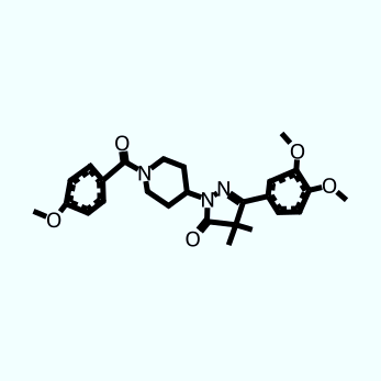 COc1ccc(C(=O)N2CCC(N3N=C(c4ccc(OC)c(OC)c4)C(C)(C)C3=O)CC2)cc1